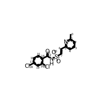 Cc1cccc(/C=C/S(=O)(=O)NC(=O)c2ccc(Cl)cc2Cl)n1